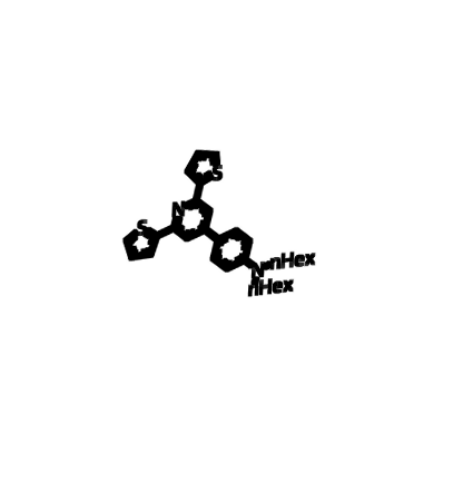 CCCCCCN(CCCCCC)c1ccc(-c2cc(-c3cccs3)nc(-c3cccs3)c2)cc1